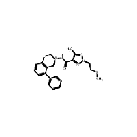 COCCn1nc(C)c(C(=O)N[C@@H]2COc3cccc(-c4cccnc4)c3C2)n1